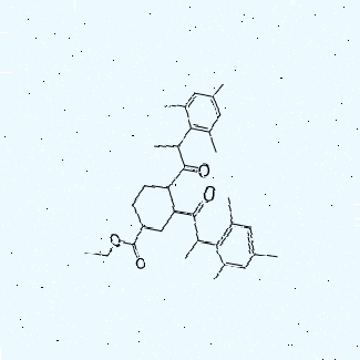 CCOC(=O)C1CCC(C(=O)C(C)c2c(C)cc(C)cc2C)C(C(=O)C(C)c2c(C)cc(C)cc2C)C1